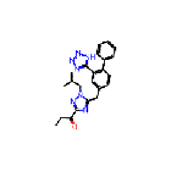 CCC(=O)c1nc(Cc2ccc(-c3ccccc3)c(-c3nnn[nH]3)c2)n(CC(C)C)n1